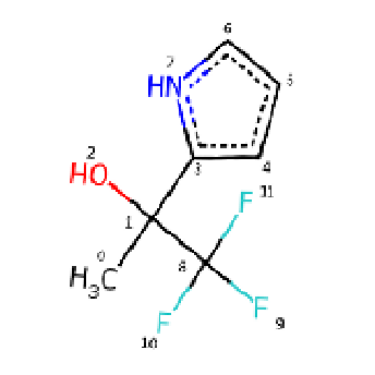 CC(O)(c1ccc[nH]1)C(F)(F)F